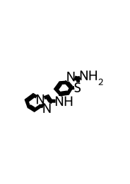 Nc1nc2ccc(Nc3cn4ccccc4n3)cc2s1